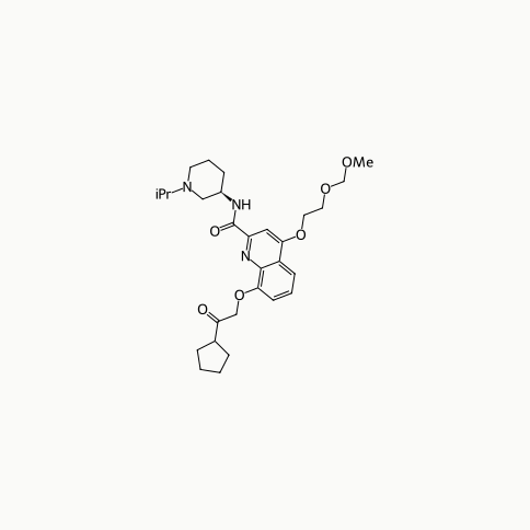 COCOCCOc1cc(C(=O)N[C@@H]2CCCN(C(C)C)C2)nc2c(OCC(=O)C3CCCC3)cccc12